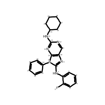 Fc1ccccc1Nc1nc2cnc(NC3CCCCC3)nc2n1-c1ccccc1